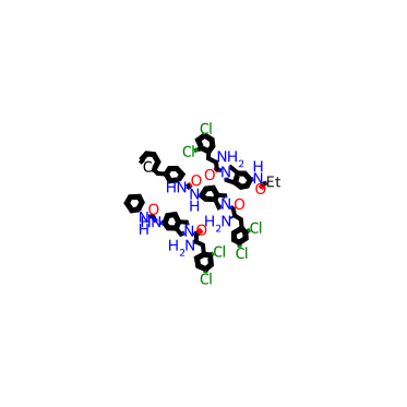 CCC(=O)Nc1ccc2c(c1)CN(C(=O)[C@H](N)Cc1ccc(Cl)cc1Cl)C2.N[C@H](Cc1ccc(Cl)cc1Cl)C(=O)N1Cc2ccc(NC(=O)Nc3cccc(Cc4ccccc4)c3)cc2C1.N[C@H](Cc1ccc(Cl)cc1Cl)C(=O)N1Cc2ccc(NC(=O)Nc3ccccc3)cc2C1